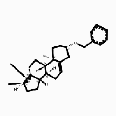 C[C@H]1[C@H]2CC[C@H]3[C@@H]4CC=C5C[C@@H](OCc6ccccc6)CC[C@]5(C)[C@H]4CC[C@]23CN1C